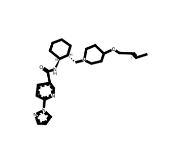 C/C=C/COC1CCN(C[C@H]2CCCC[C@@H]2NC(=O)c2ccc(-n3cccn3)nc2)CC1